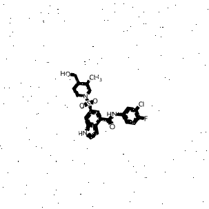 CC1CN(S(=O)(=O)c2cc(C(=O)Nc3ccc(F)c(Cl)c3)c3cc[nH]c3c2)CCC1CO